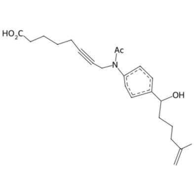 C=C(C)CCCC(O)c1ccc(N(CC#CCCCCC(=O)O)C(C)=O)cc1